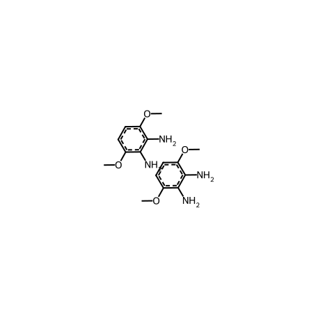 COc1ccc(OC)c(N)c1N.COc1ccc(OC)c(N)c1N